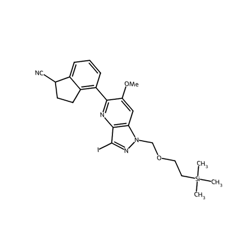 COc1cc2c(nc1-c1cccc3c1CCC3C#N)c(I)nn2COCC[Si](C)(C)C